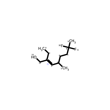 CC/C(=C\C(C)CCC(C)(F)F)CO